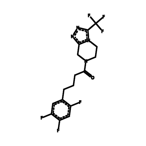 O=C(CCCc1cc(F)c(F)cc1F)N1CCn2c(nnc2C(F)(F)F)C1